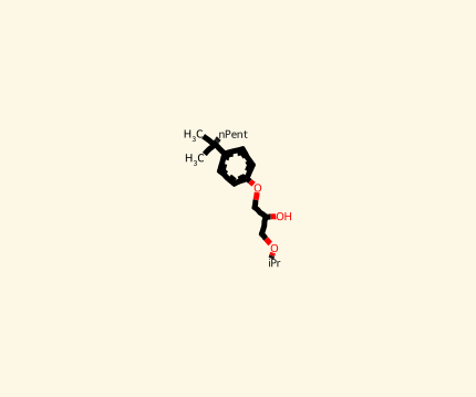 CCCCCC(C)(C)c1ccc(OCC(O)COC(C)C)cc1